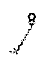 CO[Si](C)(C)CCCSSSSSSc1nc2ccccc2s1